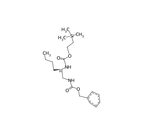 CCCC[C@H](CNC(=O)OCc1ccccc1)NC(=O)OCC[Si](C)(C)C